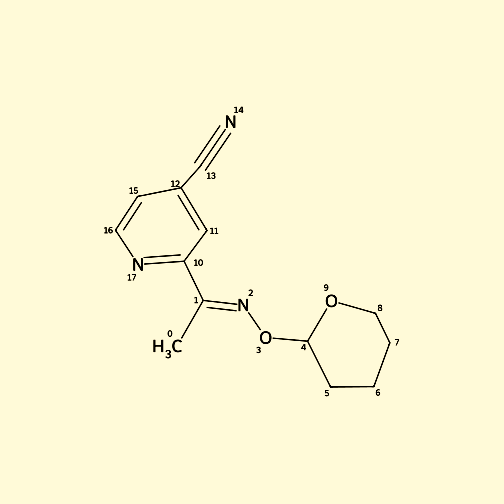 C/C(=N\OC1CCCCO1)c1cc(C#N)ccn1